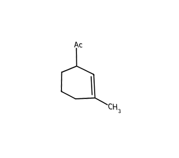 CC(=O)C1C=C(C)CCC1